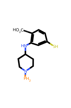 O=C(O)c1ccc(S)cc1NC1CCN(P)CC1